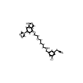 N#CCc1cc(Cl)cc(CNCCCCOCCOc2cc(-n3cnnc3)cc3[nH]ncc23)c1